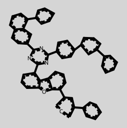 c1ccc(-c2cccc(-c3ccc(-c4nc(-c5ccc6cccc(-c7ccccc7)c6c5)nc(-c5cccc6oc7c(-c8cccc(-c9ccccc9)c8)cccc7c56)n4)cc3)c2)cc1